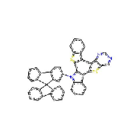 c1ccc2c(c1)-c1ccccc1C21c2ccccc2-c2ccc(-n3c4ccccc4c4c5sc6cncnc6c5c5c6ccccc6sc5c43)cc21